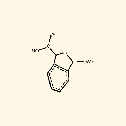 COC1OC(N(O)C(C)C)c2ccccc21